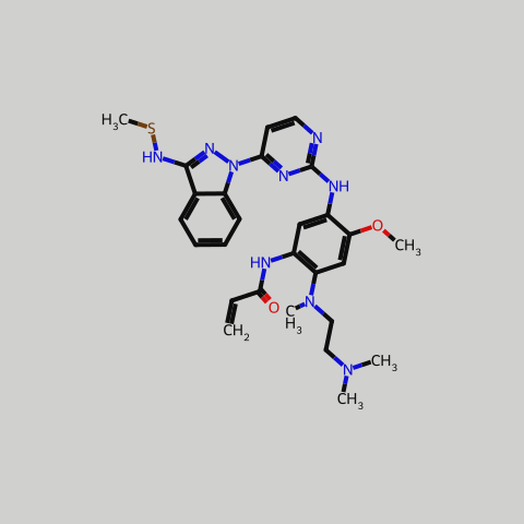 C=CC(=O)Nc1cc(Nc2nccc(-n3nc(NSC)c4ccccc43)n2)c(OC)cc1N(C)CCN(C)C